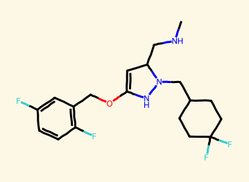 CNCC1C=C(OCc2cc(F)ccc2F)NN1CC1CCC(F)(F)CC1